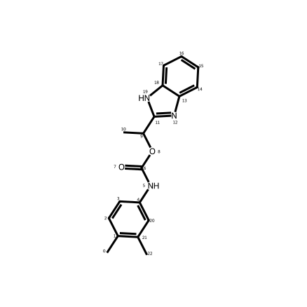 Cc1ccc(NC(=O)OC(C)c2nc3ccccc3[nH]2)cc1C